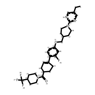 CCc1cnc(N2CCC(COc3ccc(C4=CCC(C(=O)N5CCC(C(F)(F)F)CC5)CC4)c(F)c3)CC2)nc1